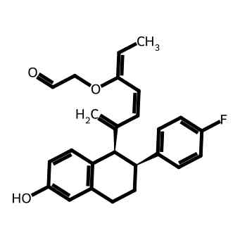 C=C(/C=C\C(=C/C)OCC=O)[C@@H]1c2ccc(O)cc2CC[C@@H]1c1ccc(F)cc1